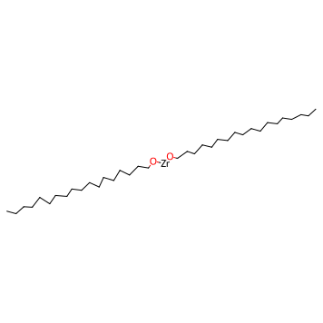 CCCCCCCCCCCCCCCCCC[O][Zr][O]CCCCCCCCCCCCCCCCCC